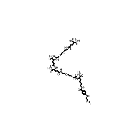 CCCNc1ccc(C(=O)NCCCCC(NC(=O)COCCOCCNC(=O)CCC(NC(=O)CCC(NC(=O)COCCOCCNC(=O)CCC(NC)C(=O)O)C(=O)O)C(=O)O)C(N)=O)cc1